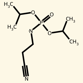 CC(C)OP(=O)([N]CCC#N)OC(C)C